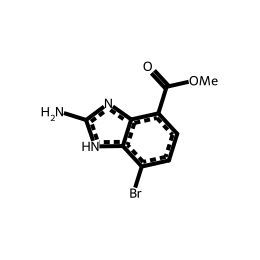 COC(=O)c1ccc(Br)c2[nH]c(N)nc12